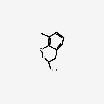 Cc1cccc2c1OOC(C=O)C2